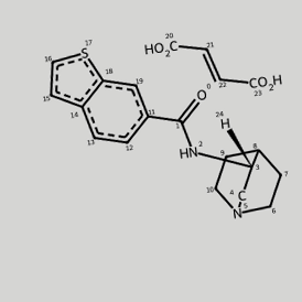 O=C(N[C@H]1CN2CCC1CC2)c1ccc2ccsc2c1.O=C(O)/C=C/C(=O)O